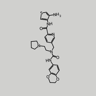 Nc1cscc1NC(=O)c1ccc(CN(CCN2CCCC2)C(=O)Nc2ccc3c(c2)OCCO3)cn1